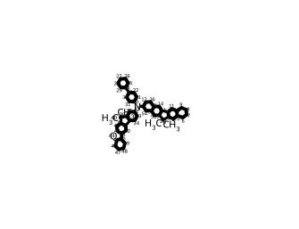 CC1(C)c2cc3ccccc3cc2-c2cc3ccc(N(c4ccc(-c5ccccc5)cc4)c4ccc5c(c4)C(C)(C)c4cc6oc7ccccc7c6cc4-5)cc3cc21